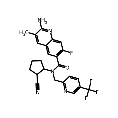 Cc1cc2cc(C(=O)N(Cc3ccc(C(F)(F)F)cn3)C3CCCC3C#N)c(F)cc2nc1N